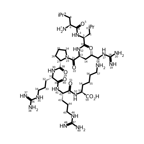 CC(C)C[C@H](NC(=O)[C@@H](N)CC(C)C)C(=O)N[C@@H](CCCNC(=N)N)C(=O)N1CCC[C@H]1C(=O)N[C@@H](CCCNC(=N)N)C(=O)N[C@@H](CCCNC(=N)N)C(=O)N[C@@H](CCCCN)C(=O)O